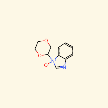 [O-][N+]1(C2COCCO2)C=Nc2ccccc21